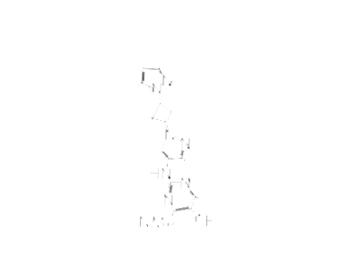 CNc1nc(Nc2cn([C@H]3C[C@@H](n4cccn4)C3)nc2C)ncc1C(F)(F)F